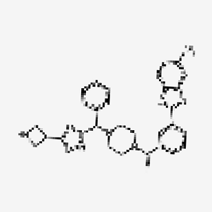 O=C(c1cccc(-c2nc3cc(C(F)(F)F)ccc3o2)c1)N1CCN(C(c2ccccc2)c2nnc(C3CNC3)o2)CC1